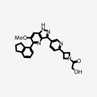 COc1cc2[nH]nc(-c3ccc(C4CN(C(=O)CO)C4)nc3)c2nc1-c1cccc2c1CCC2